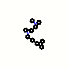 c1ccc(-n2c3ccccc3c3ccc(-c4ccc5c(c4)c4ccccc4n5-c4cccc(-c5ccc(-c6ccc7c8ccccc8c8ccccc8c7c6)cc5)c4)cc32)cc1